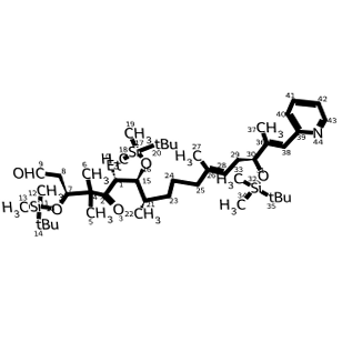 CC[C@@H](C(=O)C(C)(C)[C@H](CC=O)O[Si](C)(C)C(C)(C)C)[C@@H](O[Si](C)(C)C(C)(C)C)[C@@H](C)CCC/C(C)=C/C[C@H](O[Si](C)(C)C(C)(C)C)/C(C)=C/c1ccccn1